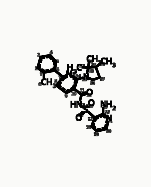 Cc1ccccc1-c1ccc(C(=O)NS(=O)(=O)c2cccnc2N)c(N2CCC(C)C2(C)C)n1